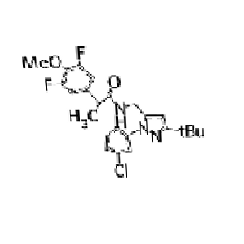 COc1c(F)cc(C(C)C(=O)NCc2cc(C(C)(C)C)nn2-c2cccc(Cl)c2)cc1F